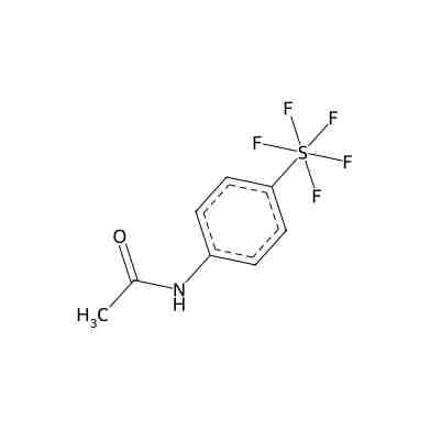 CC(=O)Nc1ccc(S(F)(F)(F)(F)F)cc1